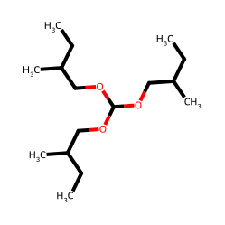 CCC(C)COC(OCC(C)CC)OCC(C)CC